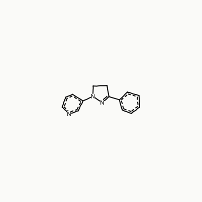 c1ccc(C2=NN(c3cccnc3)CC2)cc1